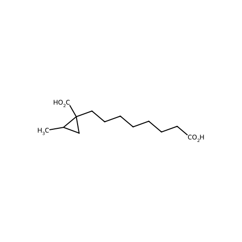 CC1CC1(CCCCCCCC(=O)O)C(=O)O